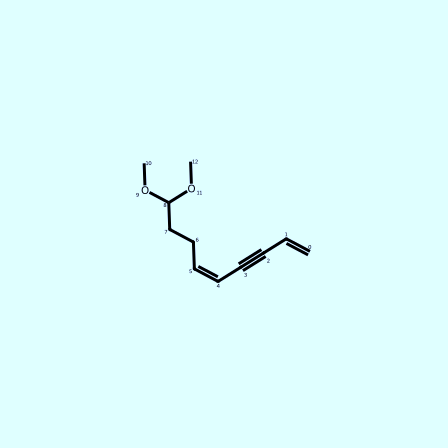 C=CC#C/C=C\CCC(OC)OC